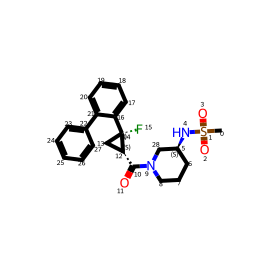 CS(=O)(=O)N[C@H]1CCCN(C(=O)[C@@H]2C[C@@]2(F)c2ccccc2-c2ccccc2)C1